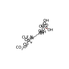 O=C(NCCCCCCn1cc(-n2c(C3CC3)c(Sc3cccc(C(=O)O)c3F)c3ccc(Cl)c(F)c32)cn1)Nc1ccc2c(c1)C(=O)OC21c2ccc(O)cc2Oc2cc(O)ccc21